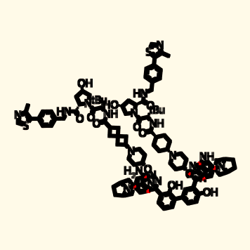 Cc1ncsc1-c1ccc(CNC(=O)[C@@H]2C[C@@H](O)CN2C(=O)[C@@H](NC(=O)C2CC3(C2)CC(N2CCC(Oc4cc(N5C6CCC5CN(c5cc(-c7cccc(-c8ccc(O)c(-c9cc(N%10CC%11CCC(C%10)N%11c%10ccc(OC%11CCN([C@H]%12CC[C@H](C(=O)N[C@H](C(=O)N%13C[C@H](O)C[C@H]%13C(=O)NCc%13ccc(-c%14scnc%14C)cc%13)C(C)(C)C)CC%12)CC%11)nc%10)c(N)nn9)c8)c7O)nnc5N)C6)ccn4)CC2)C3)C(C)(C)C)cc1